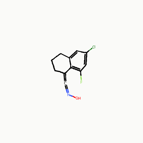 ON=C=C1CCCc2cc(Cl)cc(F)c21